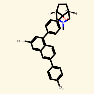 CN1C[C@H]2CC[C@@H](C1)C2(O)c1ccc(-c2cc(C(=O)O)cc3cc(-c4ccc(C(F)(F)F)cc4)ccc23)cc1